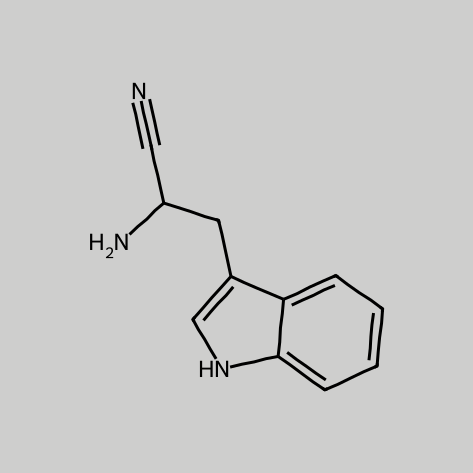 N#CC(N)Cc1c[nH]c2ccccc12